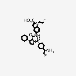 N[C@H](CF)[C@H]1CC[C@H](C(=O)N2CC[C@@H](C3CCCCC3)[C@H]2C(=O)Nc2ccc3c(c2)cc(C(=O)O)n3CCF)CC1